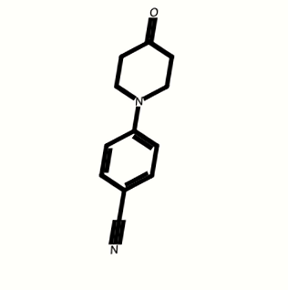 N#Cc1ccc(N2CCC(=O)CC2)cc1